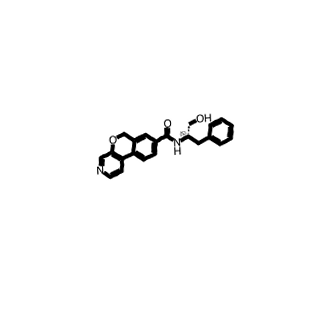 O=C(N[C@H](CO)Cc1ccccc1)c1ccc2c(c1)COc1cnccc1-2